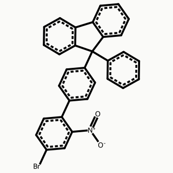 O=[N+]([O-])c1cc(Br)ccc1-c1ccc(C2(c3ccccc3)c3ccccc3-c3ccccc32)cc1